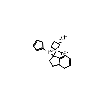 CCC[Si]1([C]2([Hf+2][C]3=CC=CC3)CCC3CC=CC=C32)CCC1.[Cl-].[Cl-]